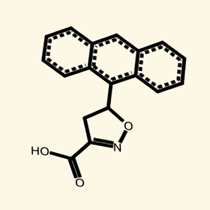 O=C(O)C1=NOC(c2c3ccccc3cc3ccccc23)C1